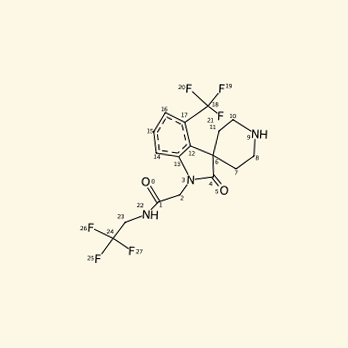 O=C(CN1C(=O)C2(CCNCC2)c2c1cccc2C(F)(F)F)NCC(F)(F)F